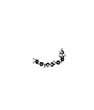 CC(C)N(CC1CCN(c2ccc(C(=O)NC3CCC(Oc4ccc(C#N)c(Cl)c4)CC3)nn2)CC1)C1CCC(Oc2ccc3c(c2)C(=O)N(C2CCC(=O)NC2=O)C3=O)CC1